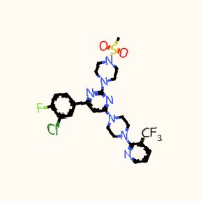 CS(=O)(=O)N1CCN(c2nc(-c3ccc(F)c(Cl)c3)cc(N3CCN(c4ncccc4C(F)(F)F)CC3)n2)CC1